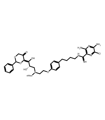 CCCCCCN(CCOc1ccc(CCCCNC(=N)c2nc(Cl)c(N)nc2N)cc1)C[C@H](O)/C(O)=C1\OC(c2ccccc2)OCC1=O